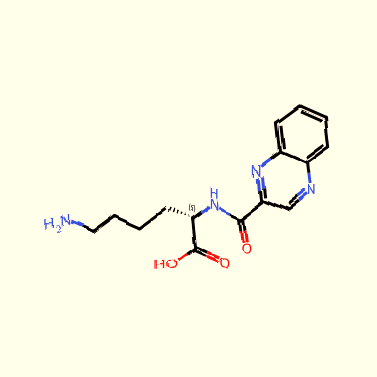 NCCCC[C@H](NC(=O)c1cnc2ccccc2n1)C(=O)O